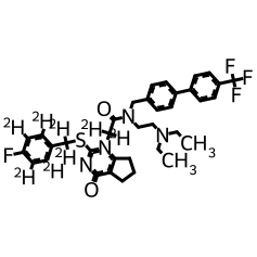 [2H]c1c([2H])c(C([2H])([2H])Sc2nc(=O)c3c(n2C([2H])([2H])C(=O)N(CCN(CC)CC)Cc2ccc(-c4ccc(C(F)(F)F)cc4)cc2)CCC3)c([2H])c([2H])c1F